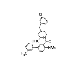 CNc1ccc(-c2cccc(C(F)(F)F)c2)cc1C(=O)N1CCN(Cc2cncc(Cl)c2)CC1C=O